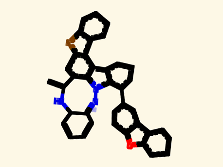 C=C1NC2C=CC=C/C2=N/n2c3c(-c4ccc5oc6ccccc6c5c4)cccc3c3c4c(cc1c32)sc1ccccc14